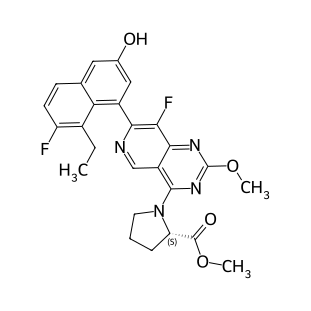 CCc1c(F)ccc2cc(O)cc(-c3ncc4c(N5CCC[C@H]5C(=O)OC)nc(OC)nc4c3F)c12